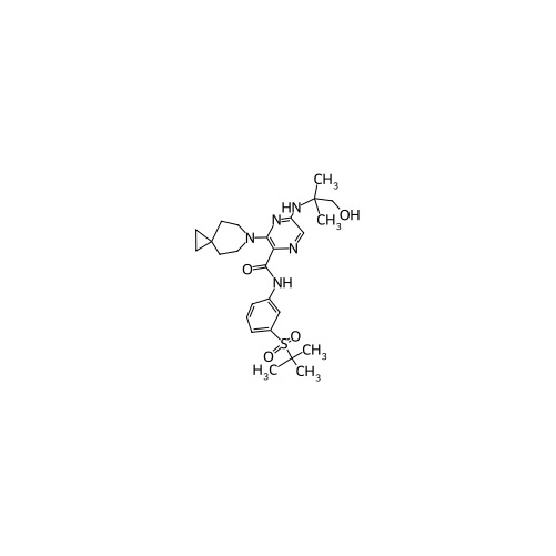 CC(C)(CO)Nc1cnc(C(=O)Nc2cccc(S(=O)(=O)C(C)(C)C)c2)c(N2CCC3(CC2)CC3)n1